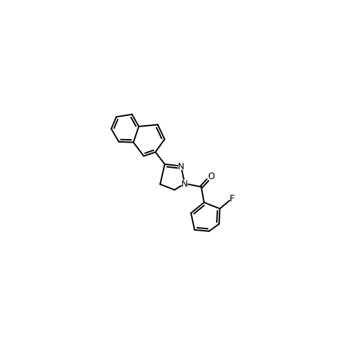 O=C(c1ccccc1F)N1CCC(c2ccc3ccccc3c2)=N1